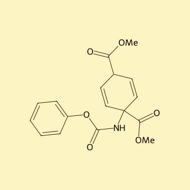 COC(=O)C1C=CC(NC(=O)Oc2ccccc2)(C(=O)OC)C=C1